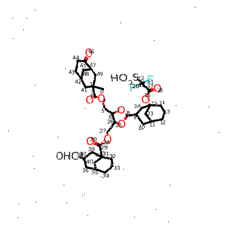 CC1(C(=O)OCC2OC(C3CC4CCCC(OC(=O)C(F)(F)S(=O)(=O)O)(C4)C3)OC2COC(=O)C23CCCC(CC(C=O)C2)C3)CC2CCC(=O)C(C2)C1